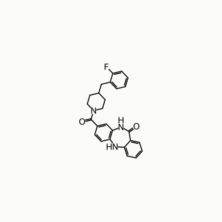 O=C1Nc2cc(C(=O)N3CCC(Cc4ccccc4F)CC3)ccc2Nc2ccccc21